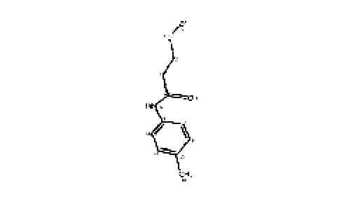 CCOCCC(=O)Nc1ccc(C)cc1